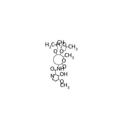 C=C(C)COC1CCCC(NC(=O)c2nccc(OC)c2O)C(=O)OC(C)C1OCC(=C)C